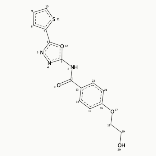 O=C(Nc1nnc(-c2cccs2)o1)c1ccc(OCCO)cc1